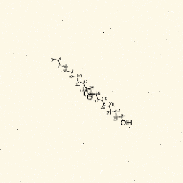 C=C=O.CCCCCCCCCCCCCCCCCCCCCCO